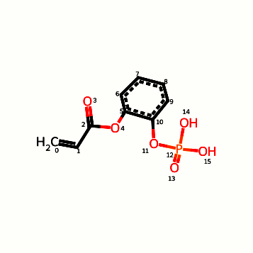 C=CC(=O)Oc1ccccc1OP(=O)(O)O